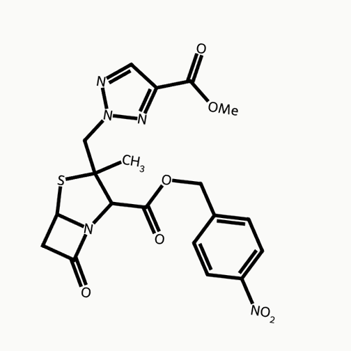 COC(=O)c1cnn(CC2(C)SC3CC(=O)N3C2C(=O)OCc2ccc([N+](=O)[O-])cc2)n1